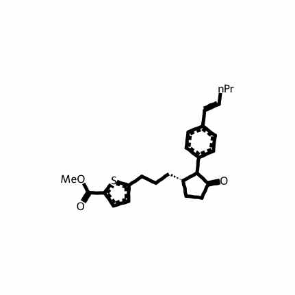 CCCC=Cc1ccc(C2C(=O)CC[C@@H]2CCCc2ccc(C(=O)OC)s2)cc1